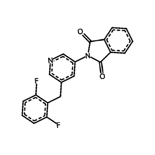 O=C1c2ccccc2C(=O)N1c1cncc(Cc2c(F)cccc2F)c1